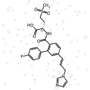 CS(=O)(=O)CC[C@H](NC(=O)c1ccc(C=CCn2ccnc2)cc1-c1ccc(F)cc1)C(=O)O